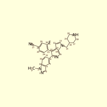 Cn1ncc2cc(-c3ncc4c(ccn4CC4CCNCC4)c3-c3ccc(C#N)cc3F)ccc21